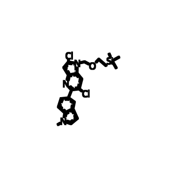 Cn1ccc2cc(-c3nc4cc(Cl)n(COCC[Si](C)(C)C)c4cc3Cl)ccc21